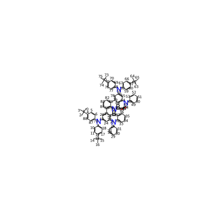 CC(C)(C)c1ccc(N(c2ccc(C(C)(C)C)cc2)c2cc3c4c(c2)N(c2ccccc2)c2ccccc2B4N2B4c5ccccc5N(c5ccccc5)c5cc(N(c6ccc(C(C)(C)C)cc6)c6ccc(C(C)(C)C)cc6)cc(c54)-c4cccc-3c42)cc1